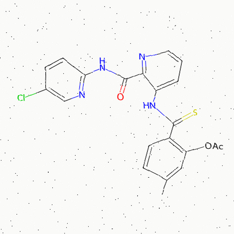 CC(=O)Oc1cc(C)ccc1C(=S)Nc1cccnc1C(=O)Nc1ccc(Cl)cn1